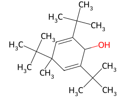 CC(C)(C)C1=CC(C)(C(C)(C)C)C=C(C(C)(C)C)C1O